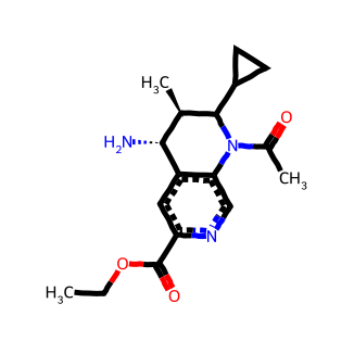 CCOC(=O)c1cc2c(cn1)N(C(C)=O)C(C1CC1)[C@H](C)[C@H]2N